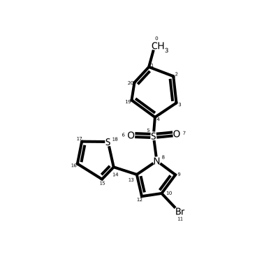 Cc1ccc(S(=O)(=O)n2cc(Br)cc2-c2cccs2)cc1